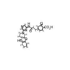 O=C(CCc1ccc(C(=O)O)c(Cl)c1)Nc1cncc(N2CCCC(OC3=C(O)CCC=C3)C2)n1